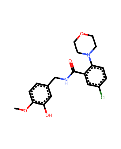 COc1ccc(CNC(=O)c2cc(Cl)ccc2N2CCOCC2)cc1O